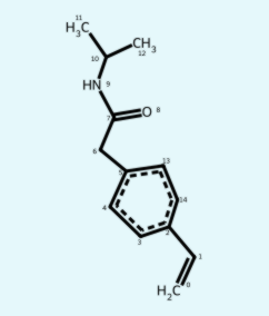 C=Cc1ccc(CC(=O)NC(C)C)cc1